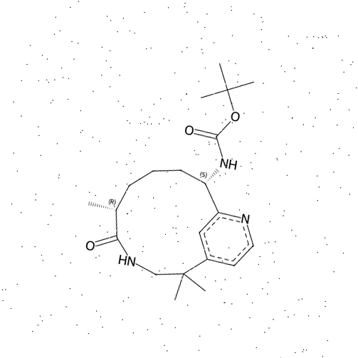 C[C@@H]1CCC[C@H](NC(=O)OC(C)(C)C)c2cc(ccn2)C(C)(C)CNC1=O